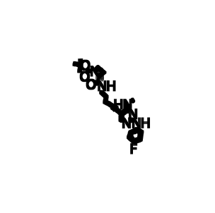 CNc1nc(Nc2ccc(F)cc2)ncc1C#CCCCNC(=O)[C@@H]1CCN1C(=O)OC(C)(C)C